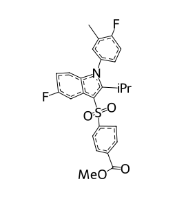 COC(=O)c1ccc(S(=O)(=O)c2c(C(C)C)n(-c3ccc(F)c(C)c3)c3ccc(F)cc23)cc1